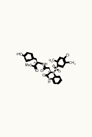 COC(=O)[C@@H](Cc1ccc(O)cc1)NC(=O)C[C@@H]1C(=O)Nc2ccccc2N1S(=O)(=O)c1cc(C)c(Cl)cc1C